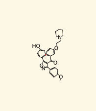 COc1ccc(-c2noc(-c3ccc(O)cc3)c2C(=O)c2cccc(OCCN3CCCCC3)c2)cc1